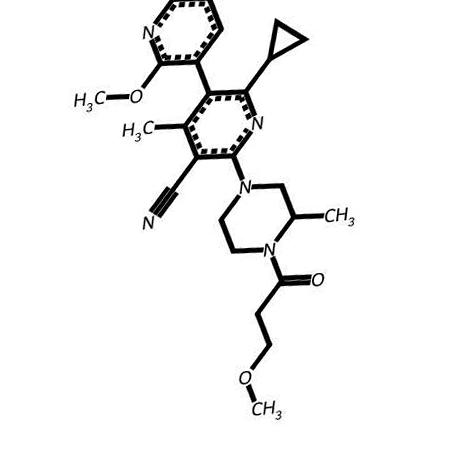 COCCC(=O)N1CCN(c2nc(C3CC3)c(-c3cccnc3OC)c(C)c2C#N)CC1C